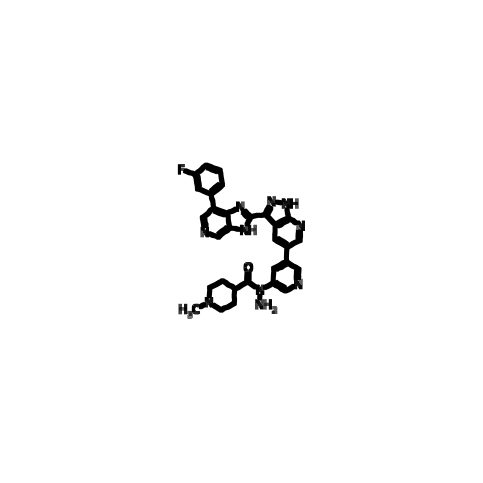 CN1CCC(C(=O)N(N)c2cncc(-c3cnc4[nH]nc(-c5nc6c(-c7cccc(F)c7)cncc6[nH]5)c4c3)c2)CC1